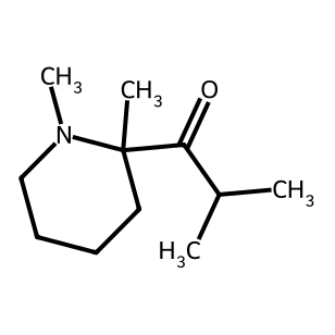 CC(C)C(=O)C1(C)CCCCN1C